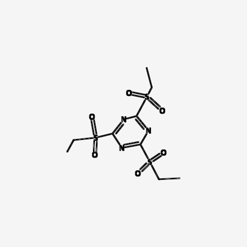 CCS(=O)(=O)c1nc(S(=O)(=O)CC)nc(S(=O)(=O)CC)n1